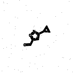 O=Cc1cc(C2CC2)no1